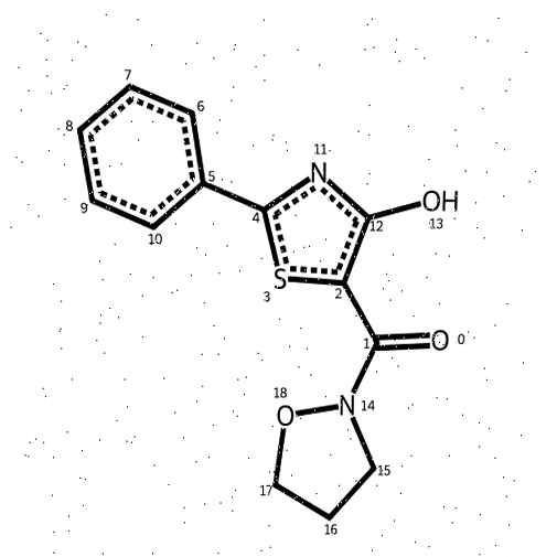 O=C(c1sc(-c2ccccc2)nc1O)N1CCCO1